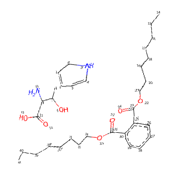 C1=CCNC=C1.CC(O)C(N)C(=O)O.CCCCCCCCOC(=O)c1ccccc1C(=O)OCCCCCCCC